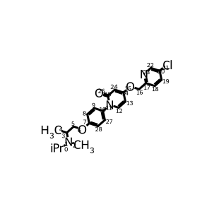 CC(C)N(C)C(C)COc1ccc(-n2ccc(OCc3ccc(Cl)cn3)cc2=O)cc1